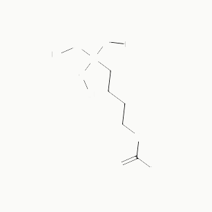 CCO[Si](CCCCOC(=O)CC)(OCC)OCC